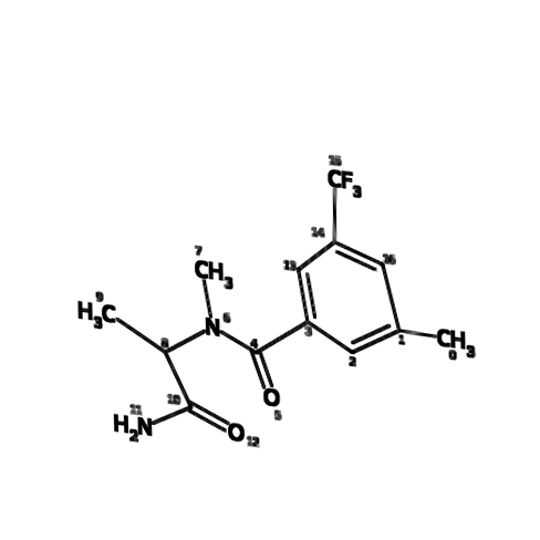 Cc1cc(C(=O)N(C)C(C)C(N)=O)cc(C(F)(F)F)c1